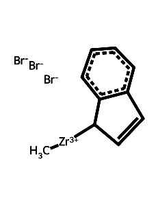 [Br-].[Br-].[Br-].[CH3][Zr+3][CH]1C=Cc2ccccc21